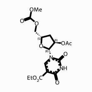 CCOC(=O)c1cn([C@@H]2O[C@H](COC(=O)OC)C[C@H]2OC(C)=O)c(=O)[nH]c1=O